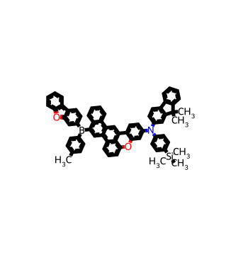 Cc1ccc(B(c2ccc3c(c2)oc2ccccc23)c2cc3c4cccc5c4c(cc3c3ccccc23)-c2ccc(N(c3ccc([Si](C)(C)C)cc3)c3ccc4c(c3)C(C)(C)c3ccccc3-4)cc2O5)cc1